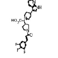 O=C(O)C(C1CCN(C(=O)/C=C/c2cc(F)c(F)c(F)c2)CC1)N1CCC(c2c[nH]c3ncccc23)CC1